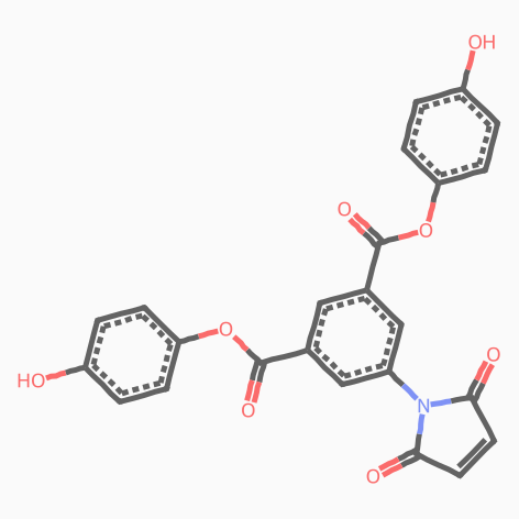 O=C(Oc1ccc(O)cc1)c1cc(C(=O)Oc2ccc(O)cc2)cc(N2C(=O)C=CC2=O)c1